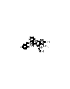 CN(C(=O)O)C1=C(NN=N)N=C(C(=N)c2cccnc2NCc2ccccc2F)NC1N